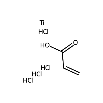 C=CC(=O)O.Cl.Cl.Cl.Cl.[Ti]